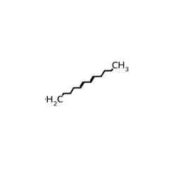 [CH2]CCCC=CC=CCCCC